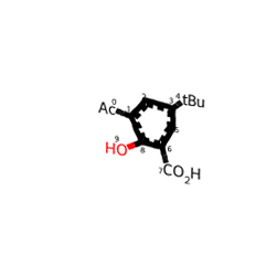 CC(=O)c1cc(C(C)(C)C)cc(C(=O)O)c1O